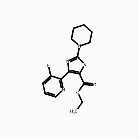 CCOC(=O)c1sc(N2CCCCC2)nc1-c1ncccc1F